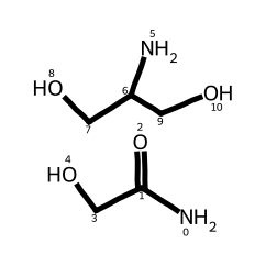 NC(=O)CO.NC(CO)CO